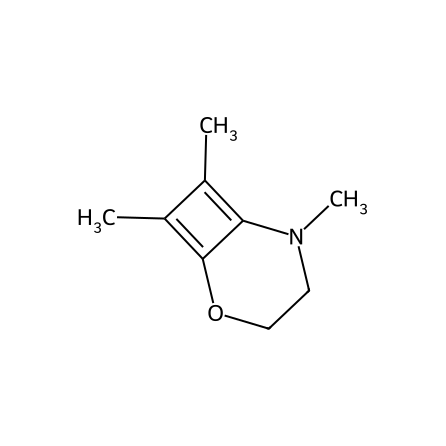 CC1=C2OCCN(C)C2=C1C